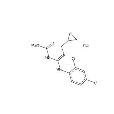 CNC(=O)NC(=NCC1CC1)Nc1ccc(Cl)cc1Cl.Cl